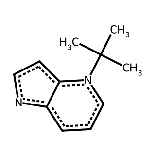 CC(C)(C)n1cccc2nccc1-2